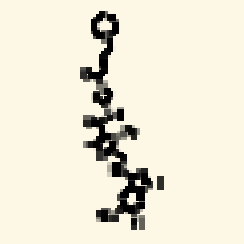 Cc1nc(CNc2n[nH]c3cc(Cl)c(C(C)(C)C)cc23)n(C(C)C)c1C(=O)NC1CN(C(=O)C=CCN2CCCCC2)C1